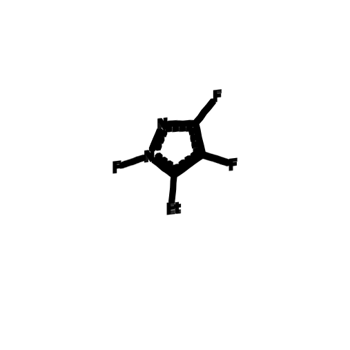 CCc1c(F)c(F)nn1F